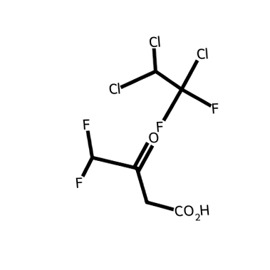 FC(F)(Cl)C(Cl)Cl.O=C(O)CC(=O)C(F)F